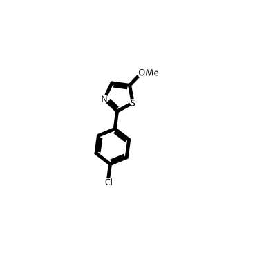 COc1cnc(-c2ccc(Cl)cc2)s1